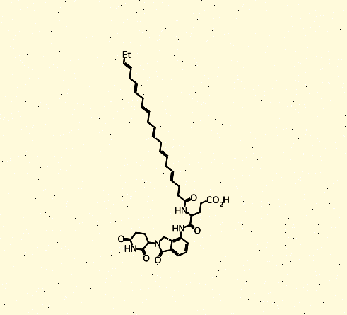 CCC=CCC=CCC=CCC=CCC=CCC=CCCC(=O)NC(CCC(=O)O)C(=O)Nc1cccc2c1CN(C1CCC(=O)NC1=O)C2=O